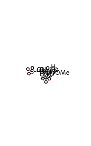 COC(=O)CNC(=O)C(NC(=O)C(CSC(c1ccccc1)(c1ccccc1)c1ccccc1)NC(=O)C(Cc1ccccc1)NC(=O)CC(O)C=CCCSC(c1ccccc1)(c1ccccc1)c1ccccc1)C(C)C